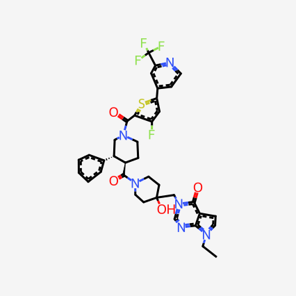 CCn1ccc2c(=O)n(CC3(O)CCN(C(=O)[C@@H]4CCN(C(=O)c5sc(-c6ccnc(C(F)(F)F)c6)cc5F)C[C@H]4c4ccccc4)CC3)cnc21